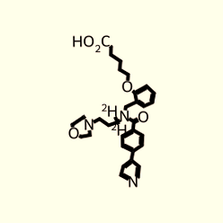 [2H]C([2H])(CCN1CCOCC1)N(Cc1ccccc1OCCCCCC(=O)O)C(=O)c1ccc(-c2ccncc2)cc1